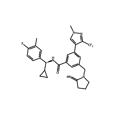 Cc1cc([C@@H](NC(=O)c2cc(CN3CCCC3=N)cc(-c3cn(C)nc3C(F)(F)F)c2)C2CC2)ccc1F